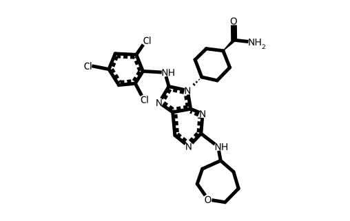 NC(=O)[C@H]1CC[C@H](n2c(Nc3c(Cl)cc(Cl)cc3Cl)nc3cnc(NC4CCCOCC4)nc32)CC1